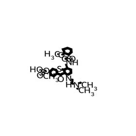 CCN(CC)CCNc1ccc(CNS(=O)(=O)c2ccccc2OC)c2sc3ccccc3c(=O)c12.CS(=O)(=O)O